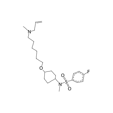 C=CCN(C)CCCCCCOC1CCC(N(C)S(=O)(=O)c2ccc(F)cc2)CC1